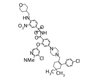 CNc1ncc(Oc2cc(N3CCN(CC4=C(c5ccc(Cl)cc5)CC(C)(C)CC4)CC3)ccc2C(=O)NS(=O)(=O)c2ccc(NCC3CCOCC3)c([N+](=O)[O-])c2)cc1Cl